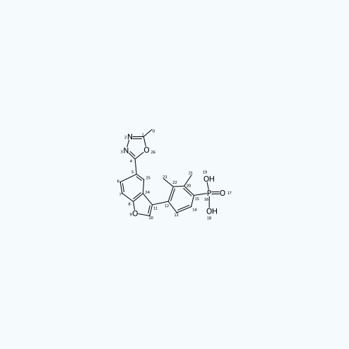 Cc1nnc(-c2ccc3occ(-c4ccc(P(=O)(O)O)c(C)c4C)c3c2)o1